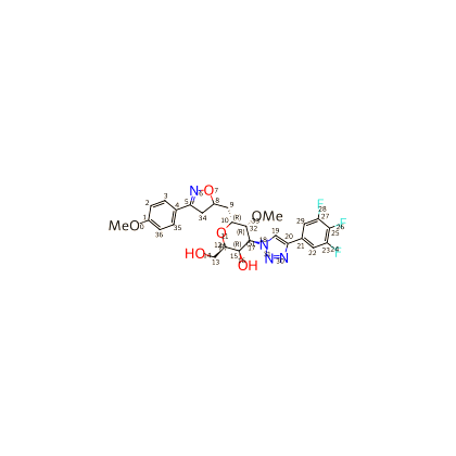 COc1ccc(C2=NOC(C[C@H]3O[C@H](CO)[C@H](O)[C@H](n4cc(-c5cc(F)c(F)c(F)c5)nn4)[C@H]3OC)C2)cc1